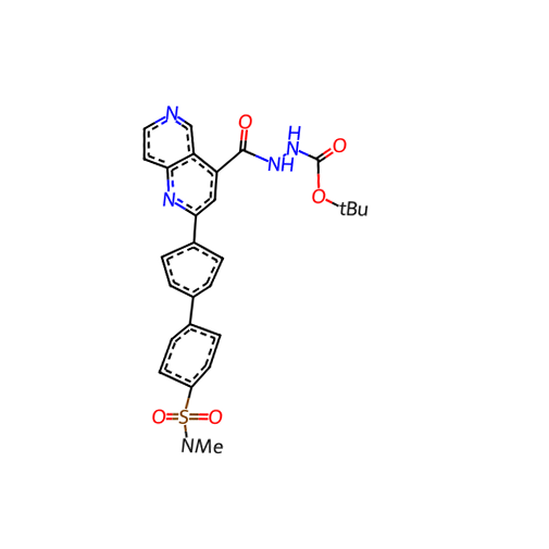 CNS(=O)(=O)c1ccc(-c2ccc(-c3cc(C(=O)NNC(=O)OC(C)(C)C)c4cnccc4n3)cc2)cc1